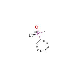 CC[P@](C)(=O)c1ccccc1